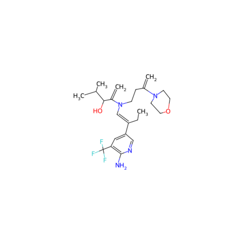 C=C(C(O)C(C)C)N(/C=C(\CC)c1cnc(N)c(C(F)(F)F)c1)CCC(=C)N1CCOCC1